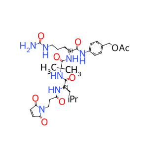 CC(=O)OCc1ccc(NC(=O)[C@H](CCCNC(N)=O)NC(=O)C(C)(C)NC(=O)[C@@H](CC(C)C)NC(=O)CCN2C(=O)C=CC2=O)cc1